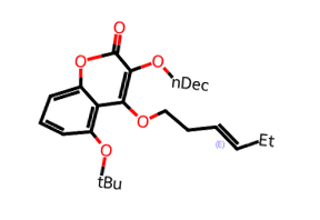 CC/C=C/CCOc1c(OCCCCCCCCCC)c(=O)oc2cccc(OC(C)(C)C)c12